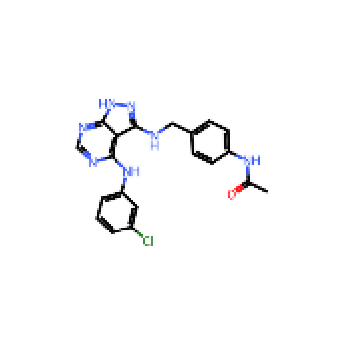 CC(=O)Nc1ccc(CNc2n[nH]c3ncnc(Nc4cccc(Cl)c4)c23)cc1